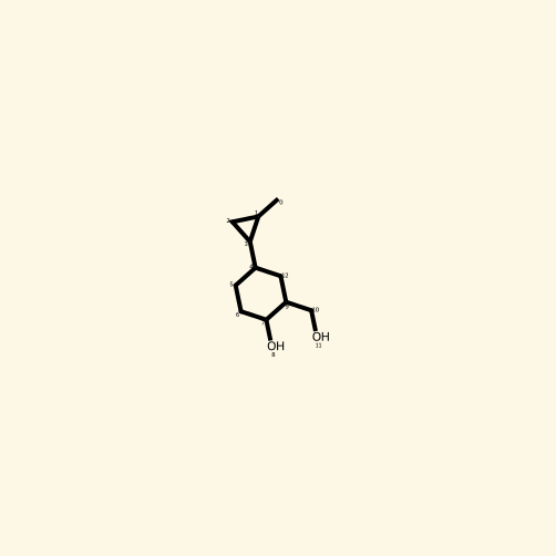 CC1CC1C1CCC(O)C(CO)C1